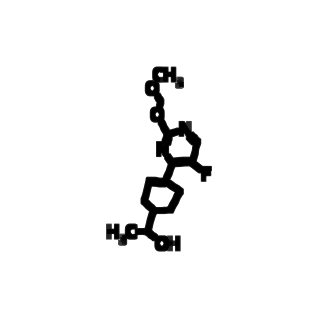 COCOc1ncc(F)c(C2=CCC(C(C)O)CC2)n1